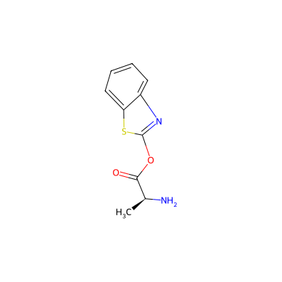 C[C@H](N)C(=O)Oc1nc2ccccc2s1